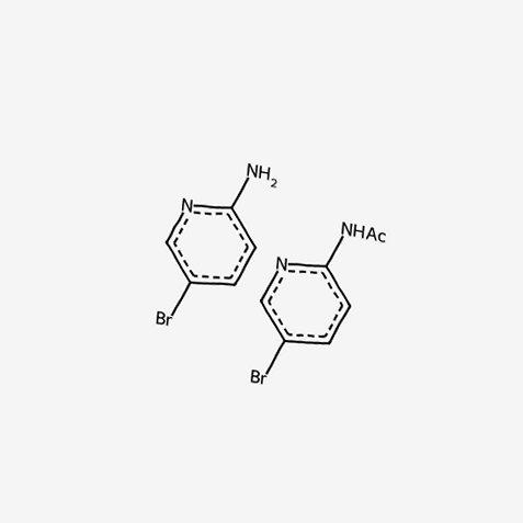 CC(=O)Nc1ccc(Br)cn1.Nc1ccc(Br)cn1